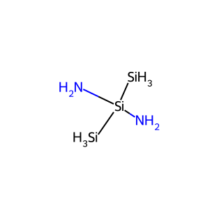 N[Si](N)([SiH3])[SiH3]